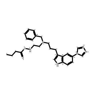 CCCC(=O)ONCCN(CCCc1c[nH]c2ccc(-n3cnnc3)cc12)Cc1ccccc1